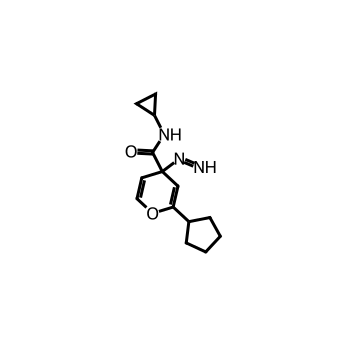 N=NC1(C(=O)NC2CC2)C=COC(C2CCCC2)=C1